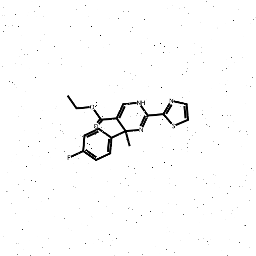 CCOC(=O)C1=CNC(c2nccs2)=NC1(C)c1ccc(F)cc1